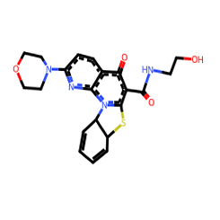 O=C(NCCO)c1c2n(c3nc(N4CCOCC4)ccc3c1=O)C1C=CC=CC1S2